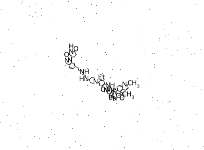 CCc1cc(Nc2ncc(Br)c(Nc3ccc4nc(C)ccc4c3P(C)(C)=O)n2)c(OC)cc1N1CCC(NCCNCCc2ccc3cnn(C4CCC(=O)NC4=O)c3c2)CC1